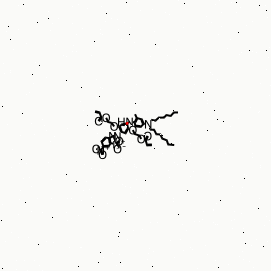 C=CC(=O)OCCOc1cc(Nc2ccc(N(CCCCCCCC)CCCCCCCC)cc2C)c(OCCOC(=O)C=C)cc1/N=N/c1ccc([N+](=O)[O-])cc1[N+](=O)[O-]